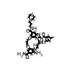 CCn1nc(C)cc1C(=O)Nc1nc2cc(C(=O)NCCCN3CCSCC3)cc3c2n1C/C=C/CNc1c(N)cc(C(N)=O)cc1OCCCO3